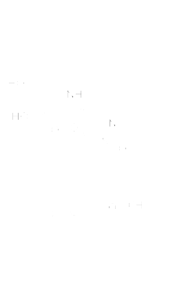 COc1ccc(S(=O)(=O)N2Cc3ccccc3C[C@H]2C(=O)NC(CO)C(=O)O)cc1OC